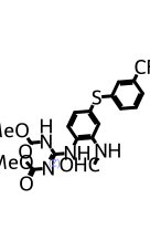 COC(=O)/N=C(\NC(=O)OC)Nc1ccc(Sc2cccc(C(F)(F)F)c2)cc1NC=O